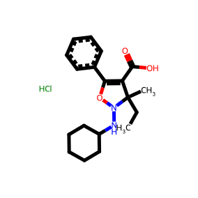 CCC1(C)C(C(=O)O)=C(c2ccccc2)ON1NC1CCCCC1.Cl